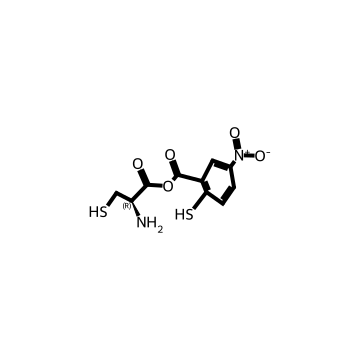 N[C@@H](CS)C(=O)OC(=O)c1cc([N+](=O)[O-])ccc1S